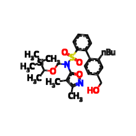 CCCCc1cc(CO)ccc1-c1ccccc1S(=O)(=O)N(COC(C)[Si](C)(C)C)c1onc(C)c1C